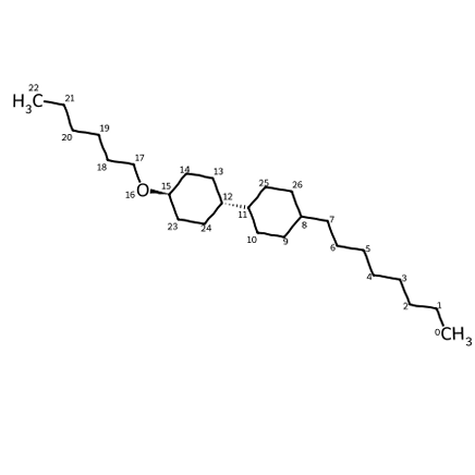 CCCCCCCCC1CCC([C@H]2CC[C@H](OCCCCCC)CC2)CC1